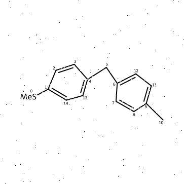 CSc1ccc(Cc2ccc(C)cc2)cc1